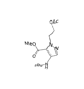 CCCCNc1cnn(CCOC(C)=O)c1C(=O)OC